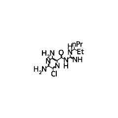 CCCC(CC)NC(=N)NC(=O)c1nc(Cl)c(N)nc1N